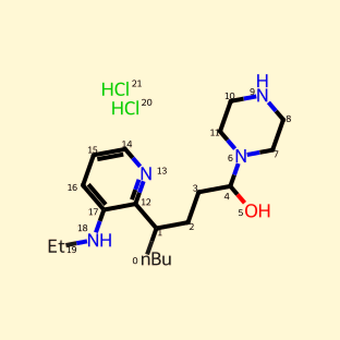 CCCCC(CCC(O)N1CCNCC1)c1ncccc1NCC.Cl.Cl